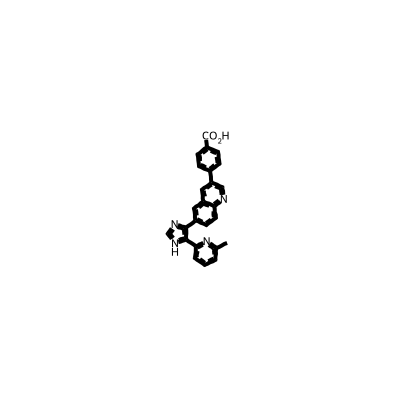 Cc1cccc(-c2[nH]cnc2-c2ccc3ncc(-c4ccc(C(=O)O)cc4)cc3c2)n1